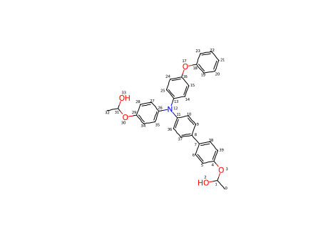 CC(O)Oc1ccc(-c2ccc(N(c3ccc(Oc4ccccc4)cc3)c3ccc(OC(C)O)cc3)cc2)cc1